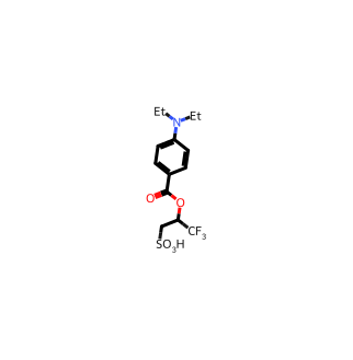 CCN(CC)c1ccc(C(=O)OC(CS(=O)(=O)O)C(F)(F)F)cc1